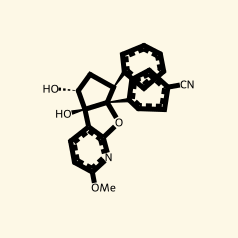 COc1ccc2c(n1)O[C@@]1(c3ccc(C#N)cc3)[C@H](c3ccccc3)C[C@@H](O)[C@@]21O